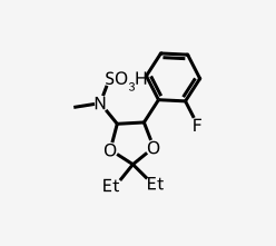 CCC1(CC)OC(c2ccccc2F)C(N(C)S(=O)(=O)O)O1